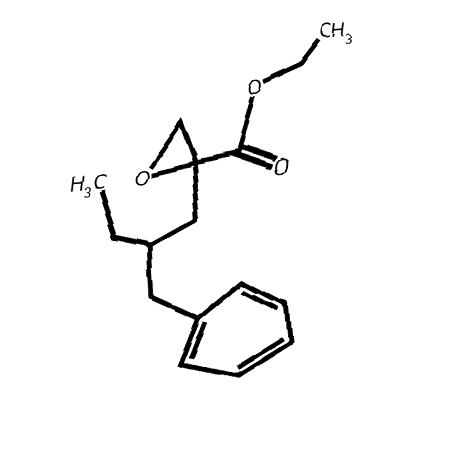 CCOC(=O)C1(CC(CC)Cc2ccccc2)CO1